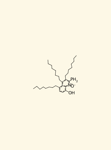 CCCCCCCCc1c(CCCCCCCC)c2c(CCCCCCCC)ccc(O)c2[n+]([O-])c1P